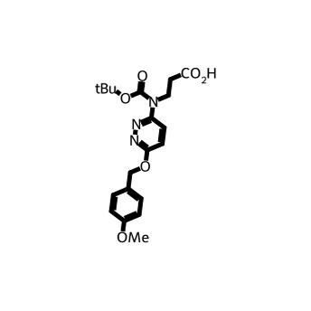 COc1ccc(COc2ccc(N(CCC(=O)O)C(=O)OC(C)(C)C)nn2)cc1